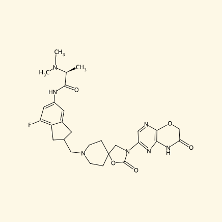 C[C@@H](C(=O)Nc1cc(F)c2c(c1)CC(CN1CCC3(CC1)CN(c1cnc4c(n1)NC(=O)CO4)C(=O)O3)C2)N(C)C